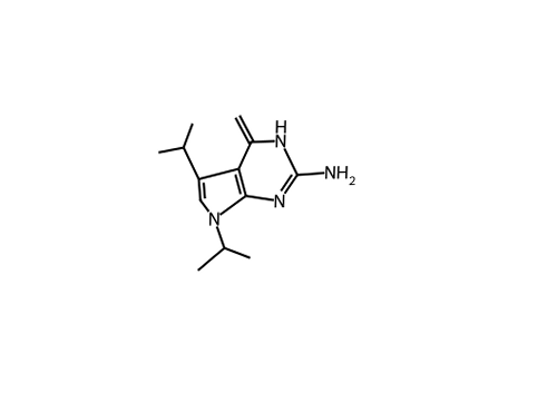 C=C1NC(N)=Nc2c1c(C(C)C)cn2C(C)C